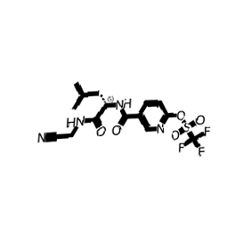 CC(C)C[C@H](NC(=O)c1ccc(OS(=O)(=O)C(F)(F)F)nc1)C(=O)NCC#N